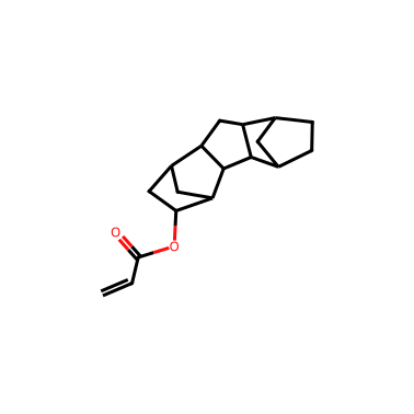 C=CC(=O)OC1CC2CC1C1C2CC2C3CCC(C3)C21